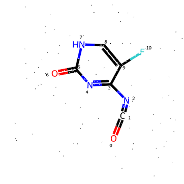 O=C=Nc1nc(=O)[nH]cc1F